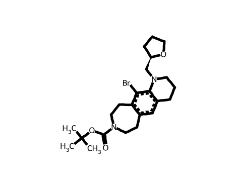 CC(C)(C)OC(=O)N1CCc2cc3c(c(Br)c2CC1)N(C[C@H]1CCCO1)CCC3